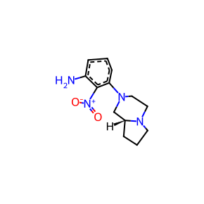 Nc1cccc(N2CCN3CCC[C@@H]3C2)c1[N+](=O)[O-]